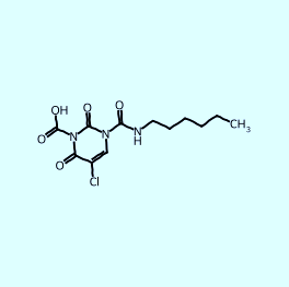 CCCCCCNC(=O)n1cc(Cl)c(=O)n(C(=O)O)c1=O